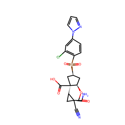 CO[C@@H]1C[C@H](S(=O)(=O)c2ccc(-n3cccn3)cc2Cl)C[C@@]1(C(=O)O)C1CC1(C#N)C(N)=O